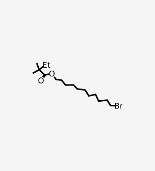 CCC(C)(C)C(=O)OCCCCCCCCCCCBr